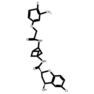 Cc1cc(OCC(=O)NC2CC3(NC(=O)[C@@H]4C[C@H](O)c5cc(Cl)ccc5O4)CC2C3)ccc1F